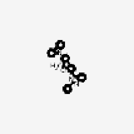 CC1(C)c2cc(-c3nc(-c4ccccc4)nc4ccccc34)ccc2-c2ccc(-n3c4ccccc4c4ccccc43)cc21